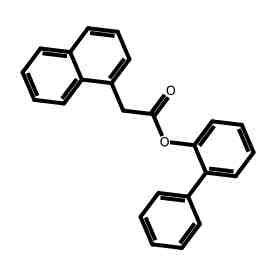 O=C(Cc1cccc2ccccc12)Oc1ccccc1-c1ccccc1